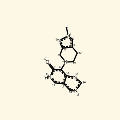 Cn1cc2c(n1)CN(c1c(=O)[nH]cc3cncnc13)CC2